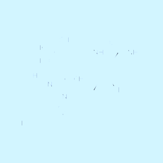 Cc1c([C@H]2c3c([nH]c4cc(C(C)(C)O)ccc34)[C@@H](C(N)=O)C[C@H]2Cl)cccc1-n1c(=O)c2cc(F)ccc2n(C)c1=O